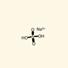 O=S(=O)(O)O.[Na+9]